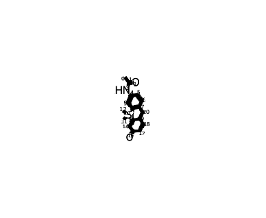 CC(=O)Nc1ccc2c(c1)[Si](C)(C)C1=CC(=O)C=CC1=C2